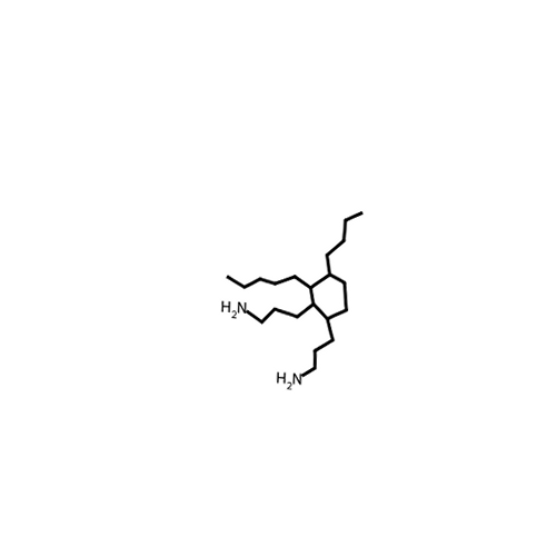 CCCCCC1C(CCCC)CCC(CCCN)C1CCCN